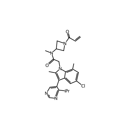 C=CC(=O)N1CC(N(C)C(=O)Cn2c(C)c(-c3cncnc3C(C)C)c3cc(Cl)cc(C)c32)C1